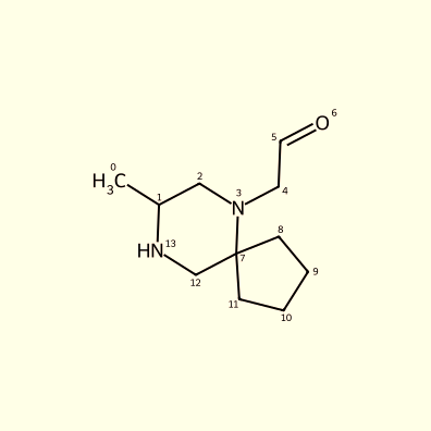 CC1CN(CC=O)C2(CCCC2)CN1